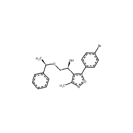 Cc1noc(-c2ccc(Br)cc2)c1[C@H](O)CO[C@H](C)c1ccccc1